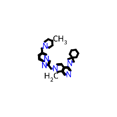 C=C1c2cncc(N3CC4(CCCCC4)C3)c2C=CN1Cc1cn2cc(CN3CCC(C)CC3)ccc2n1